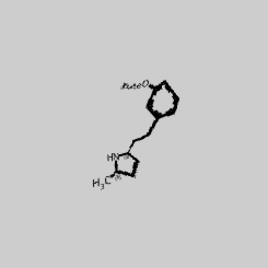 COc1cccc(CC[C@H]2CC[C@@H](C)N2)c1